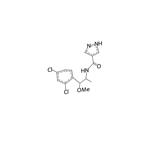 COC(c1ccc(Cl)cc1Cl)C(C)NC(=O)c1cn[nH]c1